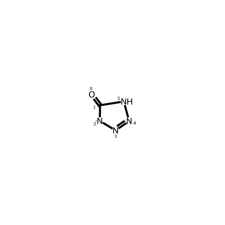 O=C1[N]N=NN1